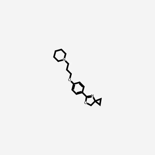 c1cc(C2=NC3(CC3)CO2)ccc1OCCCN1CCCCC1